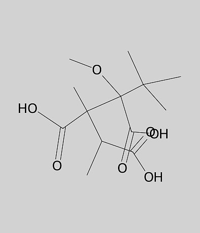 COC(C(=O)O)(C(C)(C)C)C(C)(C(=O)O)C(C)C(=O)O